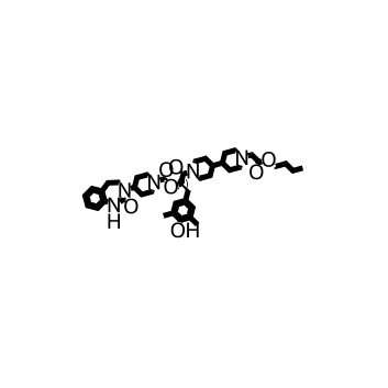 CCCCOC(=O)CN1CCC(C2CCN(C(=O)[C@@H](Cc3cc(C)c(O)c(C)c3)OC(=O)N3CCC(N4CCc5ccccc5NC4=O)CC3)CC2)CC1